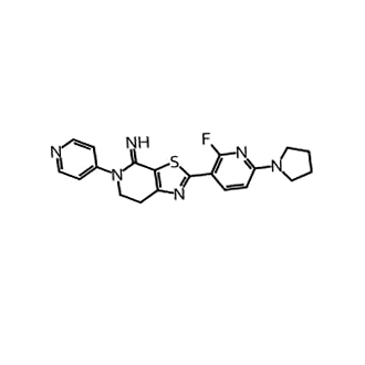 N=C1c2sc(-c3ccc(N4CCCC4)nc3F)nc2CCN1c1ccncc1